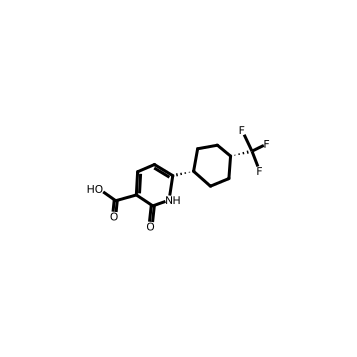 O=C(O)c1ccc([C@H]2CC[C@@H](C(F)(F)F)CC2)[nH]c1=O